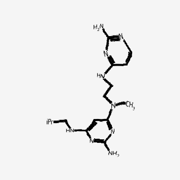 CC(C)CNc1cc(N(C)CCNc2ccnc(N)n2)nc(N)n1